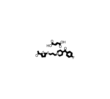 CC(=O)c1ccc(SCCCN2CCC(C(=O)c3ccc(F)cc3)CC2)s1.O=C(O)C=CC(=O)O